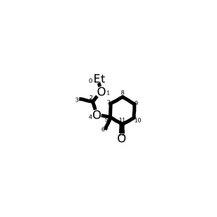 CCOC(C)OC1(C)CCCCC1=O